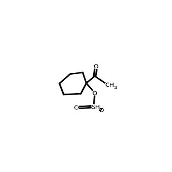 CC(=O)C1(O[SH](=O)=O)CCCCC1